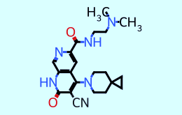 CN(C)CCNC(=O)c1cc2c(N3CCC4(CC3)CC4)c(C#N)c(=O)[nH]c2cn1